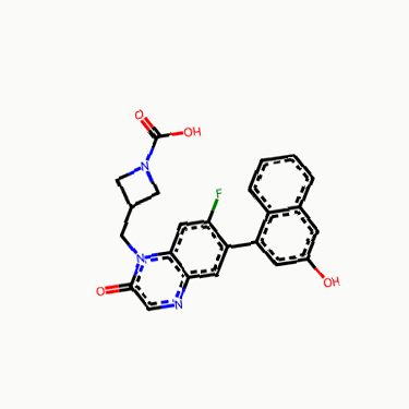 O=C(O)N1CC(Cn2c(=O)cnc3cc(-c4cc(O)cc5ccccc45)c(F)cc32)C1